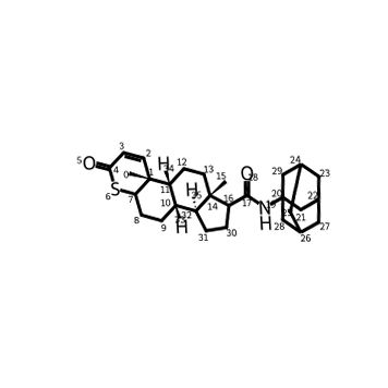 C[C@]12C=CC(=O)SC1CC[C@@H]1[C@H]2CC[C@]2(C)C(C(=O)NC34CC5CC(CC(C5)C3)C4)CC[C@@H]12